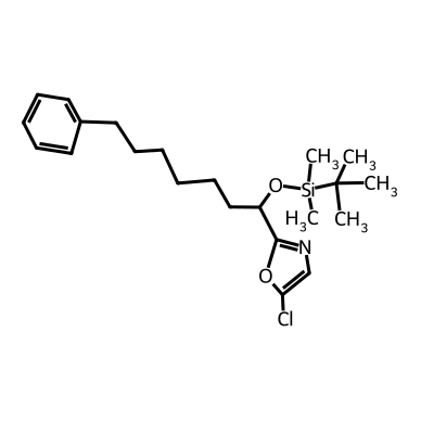 CC(C)(C)[Si](C)(C)OC(CCCCCCc1ccccc1)c1ncc(Cl)o1